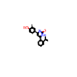 Cc1cc(-c2cc(-c3ccccc3C(C)C)[nH]c(=O)n2)ccc1O